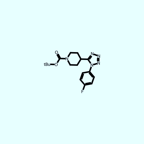 CC(C)(C)OC(=O)N1CCC(c2nnnn2-c2ccc(F)cc2)CC1